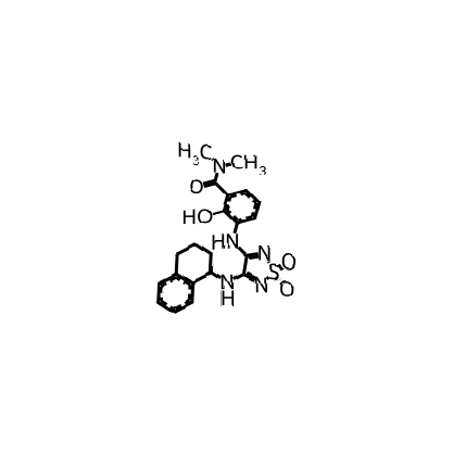 CN(C)C(=O)c1cccc(NC2=NS(=O)(=O)N=C2NC2CCCc3ccccc32)c1O